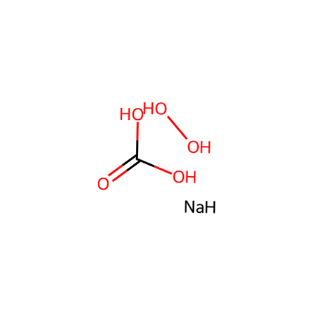 O=C(O)O.OO.[NaH]